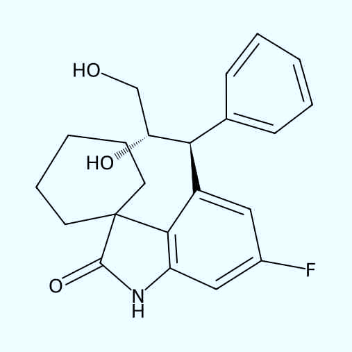 O=C1Nc2cc(F)cc([C@H](c3ccccc3)[C@H](O)CO)c2C12CCCCC2